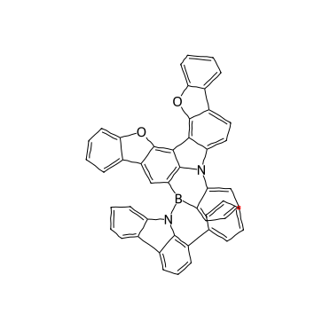 c1ccc(-c2cccc3c4ccccc4n(B4c5ccccc5-n5c6ccc7c8ccccc8oc7c6c6c7oc8ccccc8c7cc4c65)c23)cc1